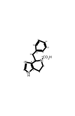 O=C(O)N1CCc2[nH]cnc2C1Cc1ccccc1